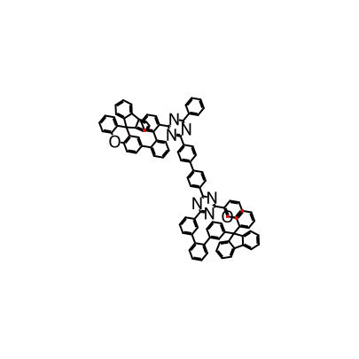 c1ccc(-c2nc(-c3ccc(-c4ccc(-c5nc(-c6ccccc6)nc(-c6ccccc6-c6ccccc6-c6ccc7c(c6)C6(c8ccccc8O7)c7ccccc7-c7ccccc76)n5)cc4)cc3)nc(-c3cccc(-c4ccccc4-c4ccc5c(c4)C4(c6ccccc6O5)c5ccccc5-c5ccccc54)c3)n2)cc1